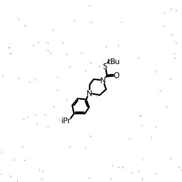 CC(C)c1ccc(N2CCN(C(=O)SC(C)(C)C)CC2)cc1